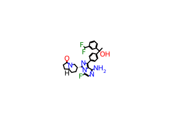 CC(O)(c1ccc(-c2nc([C@@H]3CC[C@H]4CCC(=O)N4C3)n3c(F)cnc(N)c23)cc1)c1cccc(C(F)F)c1